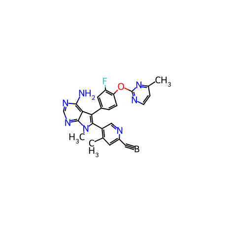 B#Cc1cc(C)c(-c2c(-c3ccc(Oc4nccc(C)n4)c(F)c3)c3c(N)ncnc3n2C)cn1